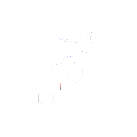 N#CC1CC2(CCC1n1nc(N)c3c(OCc4ccccc4)nccc31)CC2